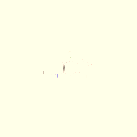 CN(C)c1cc(Cl)c(C=O)c(Cl)c1